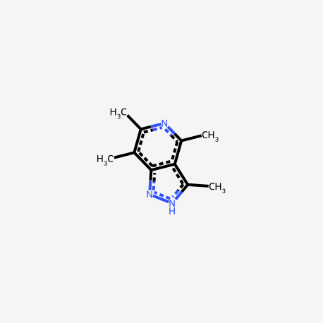 Cc1nc(C)c2c(C)[nH]nc2c1C